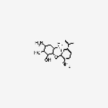 CC(C)C1CCC(N)C(OC2C(N)CC(N)C(O)C2O)O1